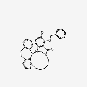 O=C1c2c(OCc3ccccc3)c(=O)ccn2N2CN1CCCCOc1cccc3c1C2c1ccccc1CC3